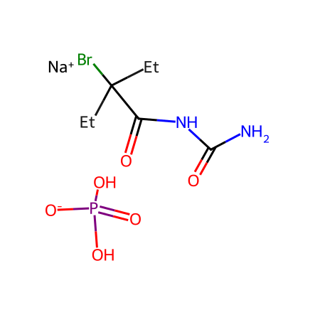 CCC(Br)(CC)C(=O)NC(N)=O.O=P([O-])(O)O.[Na+]